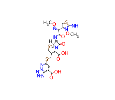 CON=C(C(=O)N[C@@H]1C(=O)N2C(C(=O)O)=C(CSc3cc(C(=O)O)c4nnnn4n3)CS[C@@H]12)c1csc(=N)n1OC